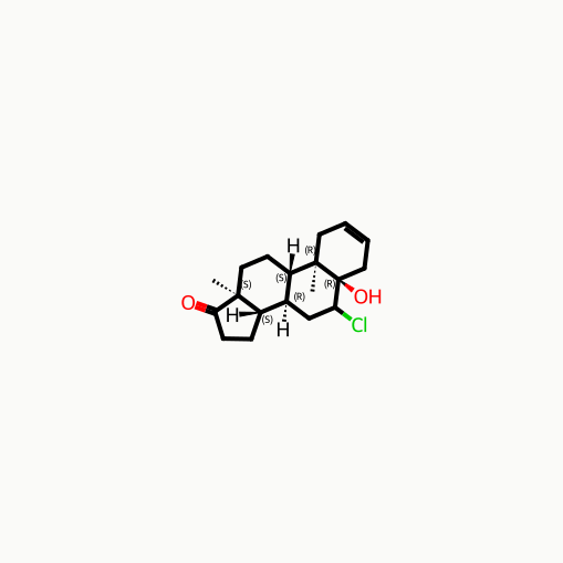 C[C@]12CC[C@H]3[C@@H](CC(Cl)[C@@]4(O)CC=CC[C@]34C)[C@@H]1CCC2=O